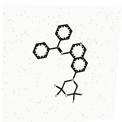 FC1(F)CN(c2ccc3cncc(N=C(c4ccccc4)c4ccccc4)c3c2)CC(F)(F)O1